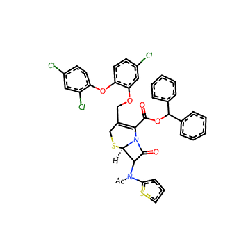 CC(=O)N(c1cccs1)C1C(=O)N2C(C(=O)OC(c3ccccc3)c3ccccc3)=C(COc3cc(Cl)ccc3Oc3ccc(Cl)cc3Cl)CS[C@H]12